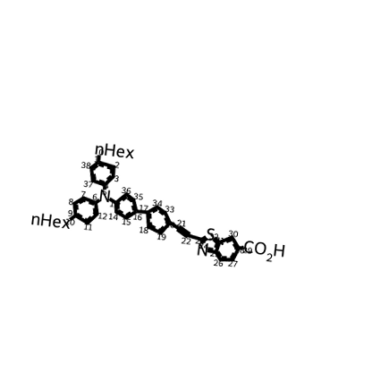 CCCCCCc1ccc(N(c2ccc(CCCCCC)cc2)c2ccc(-c3ccc(C#Cc4nc5ccc(C(=O)O)cc5s4)cc3)cc2)cc1